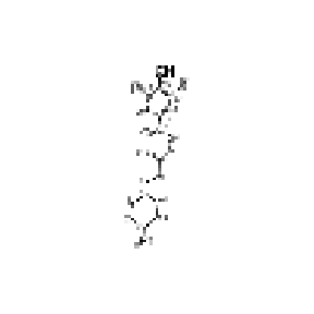 CC[C@H]1CC[C@H](CCc2ccc(-c3cc(F)c(C#N)c(F)c3)cc2)CC1